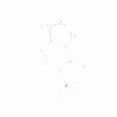 COC(=O)c1ccc2[nH]nnc2c1F